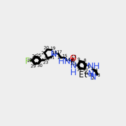 CCn1nccc1Nc1ccc(NC(=O)NCCCN2CCC[C@@H](Cc3ccc(F)cc3)C2)cc1